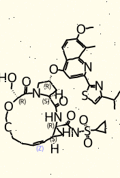 COc1ccc2c(O[C@@H]3C[C@H]4C(=O)N[C@]5(C(=O)NS(=O)(=O)C6CC6)C[C@H]5/C=C\CCCCO[C@H](CO)C(=O)N4C3)cc(-c3nc(C(C)C)cs3)nc2c1C